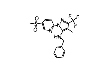 Cc1c(C(F)(F)F)nn(-c2ccc(S(C)(=O)=O)cn2)c1NCc1ccccc1